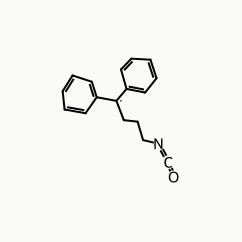 O=C=NCCC[C](c1ccccc1)c1ccccc1